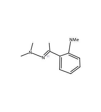 CNc1ccccc1/C(C)=N/N(C)C